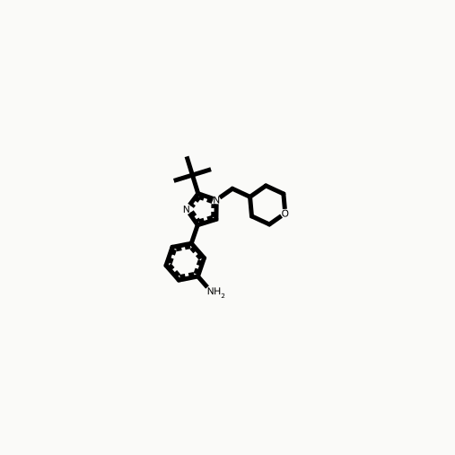 CC(C)(C)c1nc(-c2cccc(N)c2)cn1CC1CCOCC1